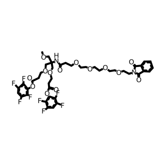 COCC(COCCC(=O)Oc1c(F)c(F)cc(F)c1F)(COCCC(=O)Oc1c(F)c(F)cc(F)c1F)NC(=O)CCOCCOCCOCCOCCN1C(=O)c2ccccc2C1=O